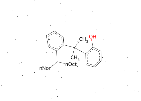 CCCCCCCCCC(CCCCCCCC)c1ccccc1C(C)(C)c1ccccc1O